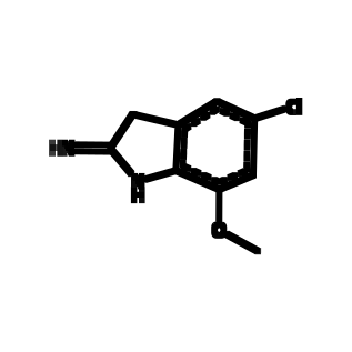 COc1cc(Cl)cc2c1NC(=N)C2